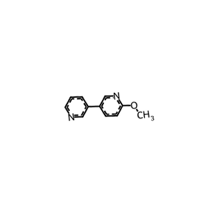 COc1ccc(-c2cccnc2)cn1